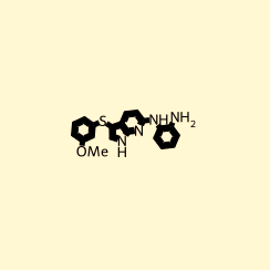 COc1cccc(Sc2c[nH]c3nc(Nc4ccccc4N)ccc23)c1